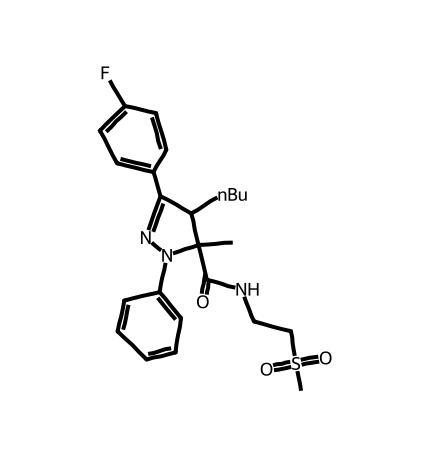 CCCCC1C(c2ccc(F)cc2)=NN(c2ccccc2)C1(C)C(=O)NCCS(C)(=O)=O